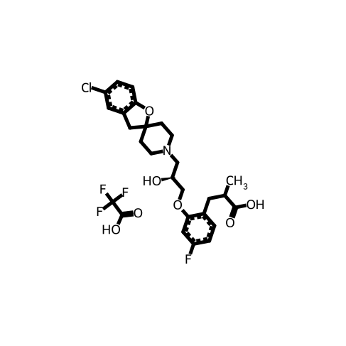 CC(Cc1ccc(F)cc1OC[C@@H](O)CN1CCC2(CC1)Cc1cc(Cl)ccc1O2)C(=O)O.O=C(O)C(F)(F)F